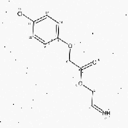 N=CCOC(=O)COc1ccc(Cl)cc1